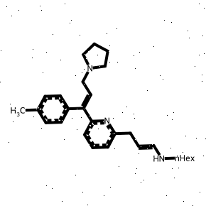 CCCCCCNC=CCc1cccc(C(=CCN2CCCC2)c2ccc(C)cc2)n1